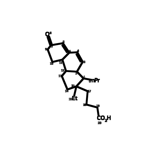 CCCC1C2C=CC3=CC(=O)CCC3C2CCC1(CC)CCCC(=O)O